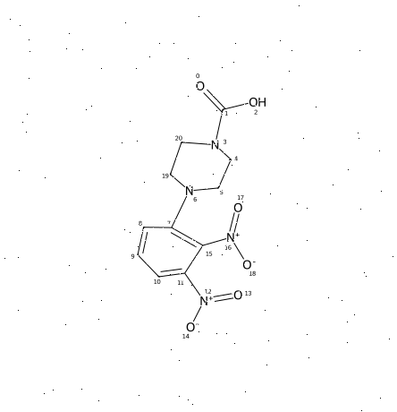 O=C(O)N1CCN(c2cccc([N+](=O)[O-])c2[N+](=O)[O-])CC1